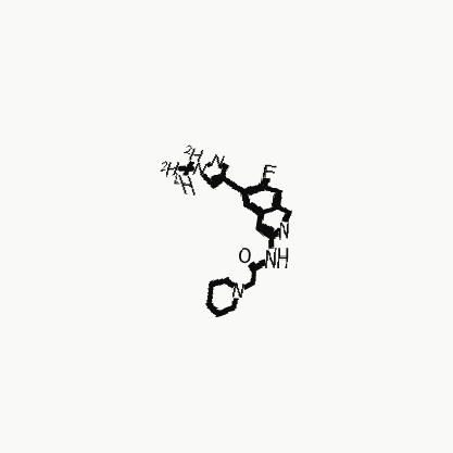 [2H]C([2H])([2H])n1cc(-c2cc3cc(NC(=O)CN4CCCCC4)ncc3cc2F)cn1